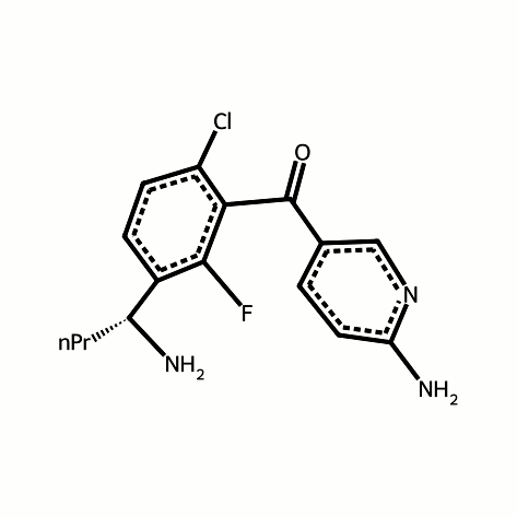 CCC[C@@H](N)c1ccc(Cl)c(C(=O)c2ccc(N)nc2)c1F